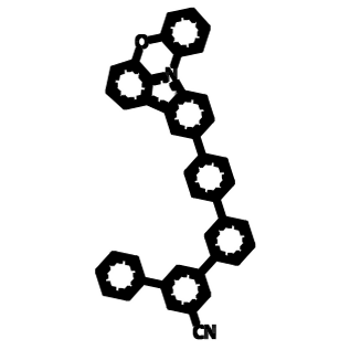 N#Cc1cc(-c2ccccc2)cc(-c2cccc(-c3ccc(-c4ccc5c(c4)c4cccc6c4n5-c4ccccc4O6)cc3)c2)c1